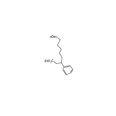 CCCCCCCCCCCCCCCC(CC(=O)OCC)c1ccccc1